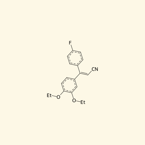 CCOc1ccc(C(=CC#N)c2ccc(F)cc2)cc1OCC